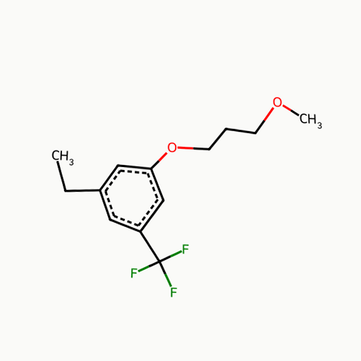 CCc1cc(OCCCOC)cc(C(F)(F)F)c1